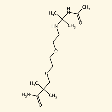 CC(=O)NC(C)(C)NCCOCCOCC(C)(C)C(N)=O